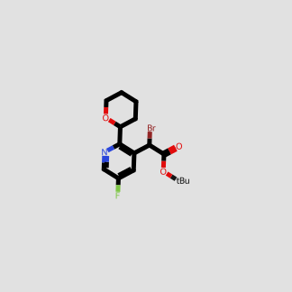 CC(C)(C)OC(=O)C(Br)c1cc(F)cnc1C1CCCCO1